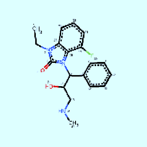 CCn1c(=O)n(C(c2ccccc2)C(O)CNC)c2c(F)cccc21